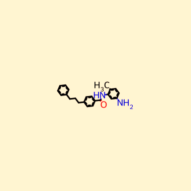 Cc1ccc(N)cc1NC(=O)c1ccc(CCCc2ccccc2)cc1